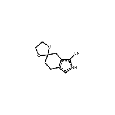 N#Cc1[nH]cc2c1CC1(CC2)OCCO1